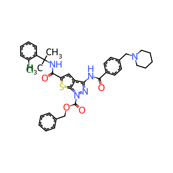 CC(C)(NC(=O)c1cc2c(NC(=O)c3ccc(CN4CCCCC4)cc3)nn(C(=O)OCc3ccccc3)c2s1)c1ccccc1Cl